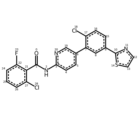 O=C(Nc1ccc(-c2cc(-c3nccs3)ccc2Cl)cn1)c1c(F)cccc1Cl